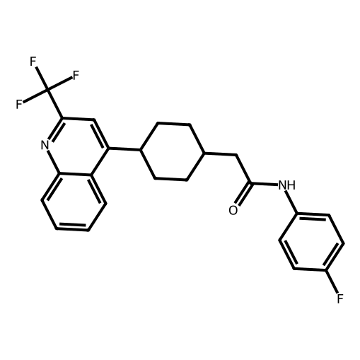 O=C(CC1CCC(c2cc(C(F)(F)F)nc3ccccc23)CC1)Nc1ccc(F)cc1